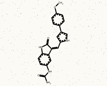 COc1ccc(-c2c[nH]c(/C=C3\C(=O)Nc4ccc(NC(N)=O)cc43)c2)cc1